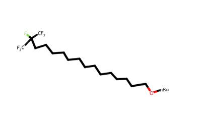 CCCCOCCCCCCCCCCCCCCC(F)(C(F)(F)F)C(F)(F)F